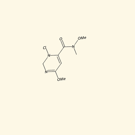 COC1=NCN(Cl)C(C(=O)N(C)OC)=C1